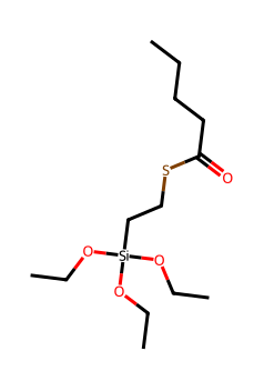 CCCCC(=O)SCC[Si](OCC)(OCC)OCC